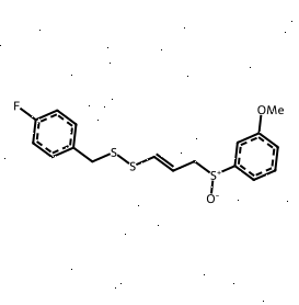 COc1cccc([S+]([O-])CC=CSSCc2ccc(F)cc2)c1